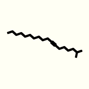 CCCCCCCCCCC#CCCCCC(C)C